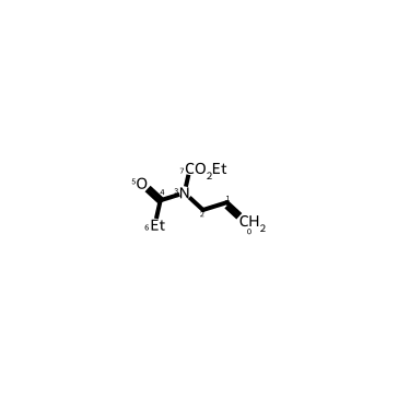 C=CCN(C(=O)CC)C(=O)OCC